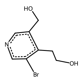 OCCc1c(Br)cncc1CO